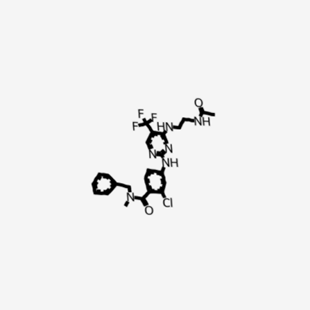 CC(=O)NCCNc1nc(Nc2ccc(C(=O)N(C)Cc3ccccc3)c(Cl)c2)ncc1C(F)(F)F